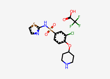 O=C(O)C(F)(F)F.O=S(=O)(Nc1nccs1)c1ccc(OC2CCNCC2)c(Cl)c1